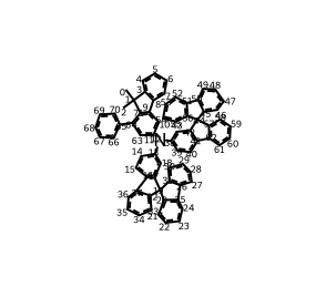 CC1(C)c2ccccc2-c2cc(N(c3ccc4c(c3)C3(c5ccccc5-c5ccccc53)c3ccccc3-4)c3ccc4c(c3)C3(c5ccccc5-c5ccccc53)c3ccccc3-4)cc(-c3ccccc3)c21